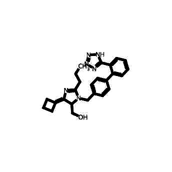 CCCC1=NC(=C2CCC2)C(CO)N1Cc1ccc(-c2ccccc2-c2nnn[nH]2)cc1